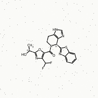 C[C@H](O)c1nc(C(F)F)c(C(=O)N2CCc3[nH]cnc3[C@H]2c2nc3ccccc3s2)o1